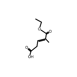 CCOC(=O)C(C)=CCC(=O)O